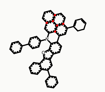 C1=CCCC(c2cc(-c3ccccc3)cc(-c3ccc4c(oc5c6ccccc6c(-c6ccccc6)cc45)c3N(c3ccc(-c4ccccc4)cc3)c3ccc4ccccc4c3)c2)=C1